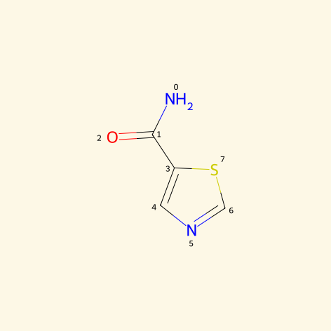 NC(=O)c1cncs1